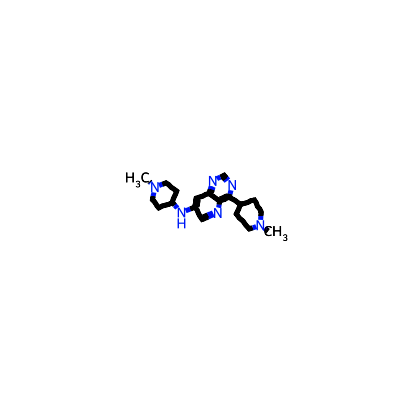 CN1CCC(Nc2cnc3c(C4CCN(C)CC4)ncnc3c2)CC1